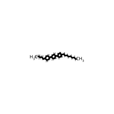 CCCCCCCCCC1CCC(C2CCC(C3CCC(CCCCC)CC3)CC2)CC1